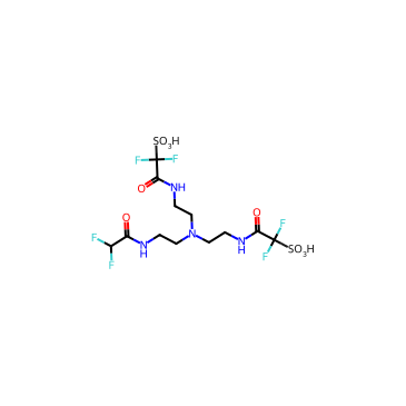 O=C(NCCN(CCNC(=O)C(F)(F)S(=O)(=O)O)CCNC(=O)C(F)(F)S(=O)(=O)O)C(F)F